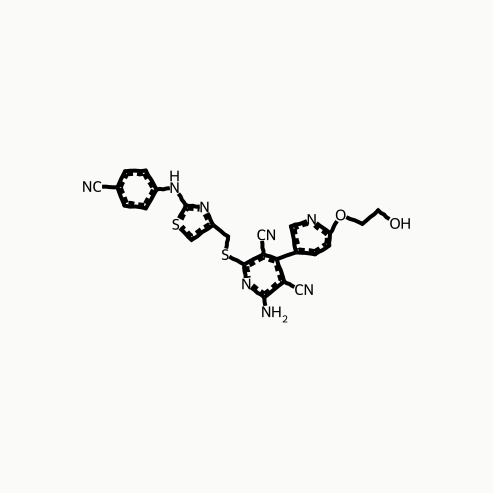 N#Cc1ccc(Nc2nc(CSc3nc(N)c(C#N)c(-c4ccc(OCCO)nc4)c3C#N)cs2)cc1